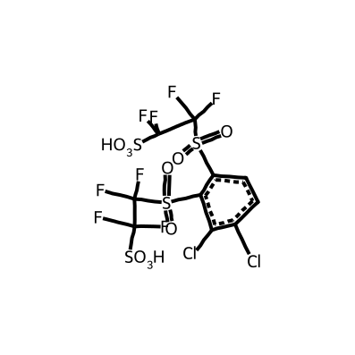 O=S(=O)(O)C(F)(F)C(F)(F)S(=O)(=O)c1ccc(Cl)c(Cl)c1S(=O)(=O)C(F)(F)C(F)(F)S(=O)(=O)O